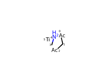 CC(=O)CC(C)=O.CN.[Ti]